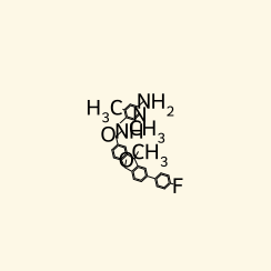 Cc1cc(N)nc(C)c1CNC(=O)c1ccc2c(c1)C1(C)OC2c2ccc(-c3ccc(F)cc3)cc21